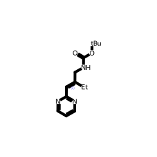 CC/C(=C\c1ncccn1)CNC(=O)OC(C)(C)C